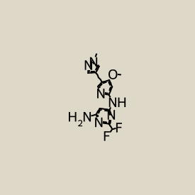 COc1cc(Nc2cc(N)nc(C(F)F)n2)ncc1-c1cnn(C)c1